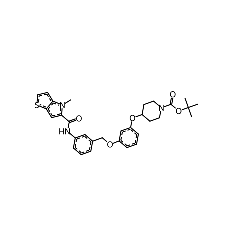 Cn1c(C(=O)Nc2cccc(COc3cccc(OC4CCN(C(=O)OC(C)(C)C)CC4)c3)c2)cc2sccc21